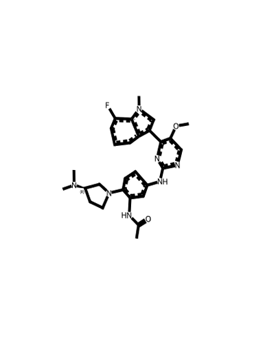 COc1cnc(Nc2ccc(N3CC[C@@H](N(C)C)C3)c(NC(C)=O)c2)nc1-c1cn(C)c2c(F)cccc12